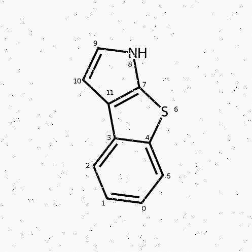 c1ccc2c(c1)sc1[nH]ccc12